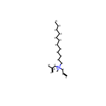 C=CC[N+](C)(CCCCCCCCCCCC)CC(=C)C